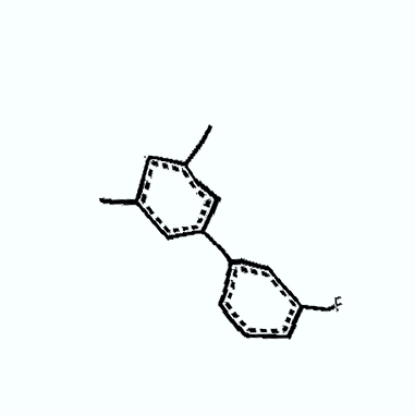 Cc1[c]c(C)cc(-c2cccc(F)c2)c1